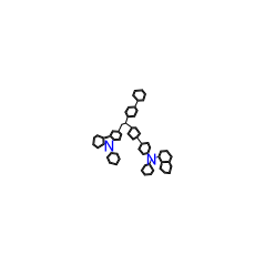 c1ccc(-c2ccc(C(Cc3ccc4c(c3)c3ccccc3n4-c3ccccc3)c3ccc(-c4ccc(N(c5ccccc5)c5cccc6ccccc56)cc4)cc3)cc2)cc1